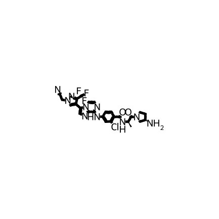 C[C@@H](NC(=O)c1ccc(Nc2nccn3c(-c4cn(CC#N)nc4C(F)(F)F)cnc23)cc1Cl)C(=O)N1CC[C@H](N)C1